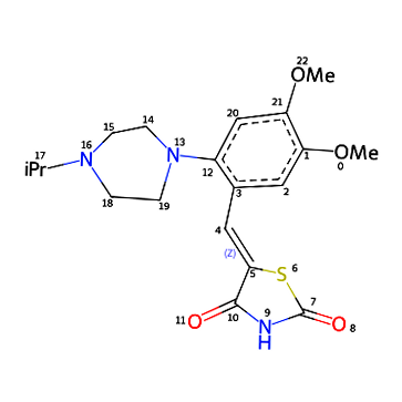 COc1cc(/C=C2\SC(=O)NC2=O)c(N2CCN(C(C)C)CC2)cc1OC